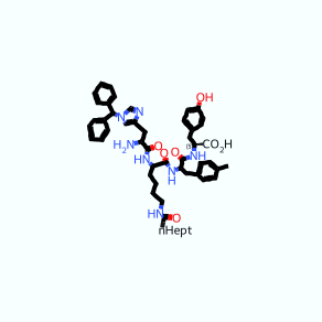 CCCCCCCC(=O)NCCCCC(NC(=O)C(N)Cc1cn(C(c2ccccc2)c2ccccc2)cn1)C(=O)NC(Cc1ccc(C)cc1)C(=O)N[C@@H](Cc1ccc(O)cc1)C(=O)O